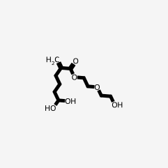 C=C(CCCC(O)O)C(=O)OCCOCCO